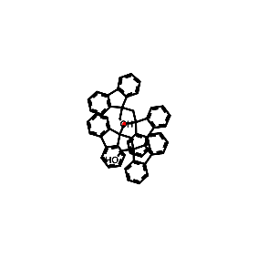 OCC1(CC2(CC3(CC4(CO)c5ccccc5-c5ccccc54)c4ccccc4-c4ccccc43)c3ccccc3-c3ccccc32)c2ccccc2-c2ccccc21